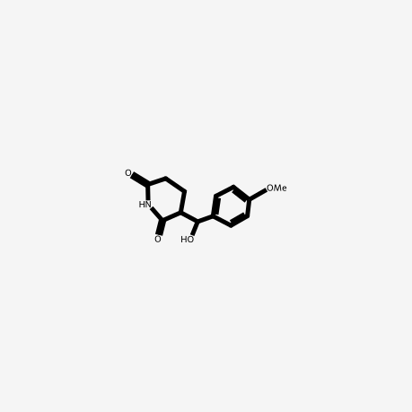 COc1ccc(C(O)C2CCC(=O)NC2=O)cc1